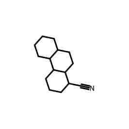 N#CC1CCCC2C1CCC1CCCCC12